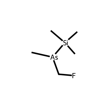 C[As](CF)[Si](C)(C)C